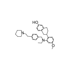 CCN(Cc1ccc(CCN2CCCCC2)cc1)c1cc(OC)ccc1C1CCc2cc(O)ccc2C1